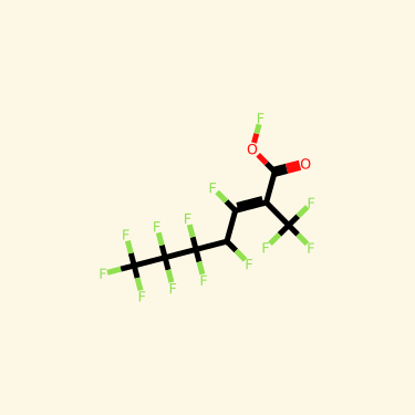 O=C(OF)C(=C(F)[C](F)C(F)(F)C(F)(F)C(F)(F)F)C(F)(F)F